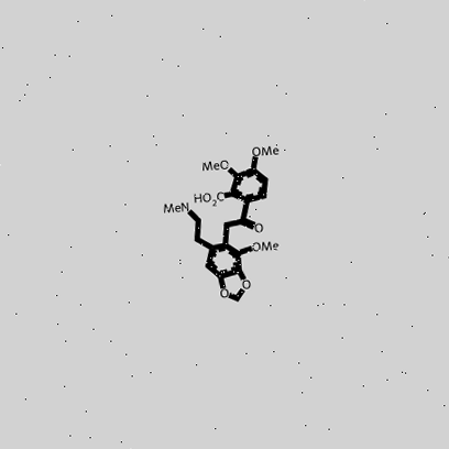 CNCCc1cc2c(c(OC)c1CC(=O)c1ccc(OC)c(OC)c1C(=O)O)OCO2